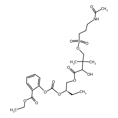 CCOC(=O)c1ccccc1OC(=O)O[C@H](CC)COC(=O)C(O)C(C)(C)COS(=O)(=O)CCCNC(C)=O